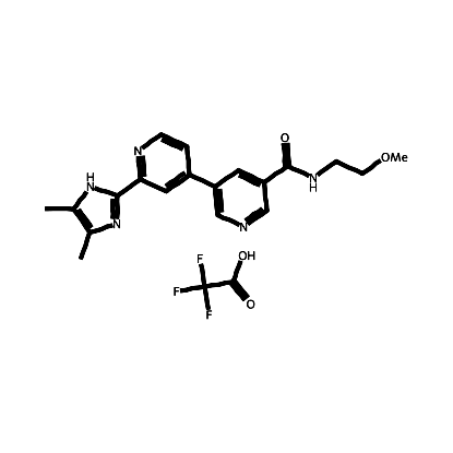 COCCNC(=O)c1cncc(-c2ccnc(-c3nc(C)c(C)[nH]3)c2)c1.O=C(O)C(F)(F)F